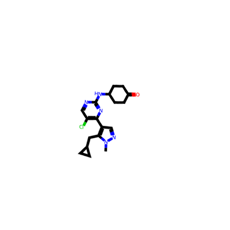 Cn1ncc(-c2nc(NC3CCC(=O)CC3)ncc2Cl)c1CC1CC1